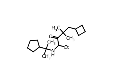 CCC(NC(C)(C)C1CCCC1)C(=O)C(C)(C)CC1CCC1